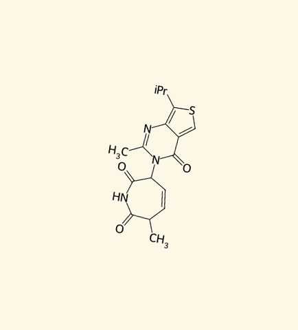 Cc1nc2c(C(C)C)scc2c(=O)n1C1C=CC(C)C(=O)NC1=O